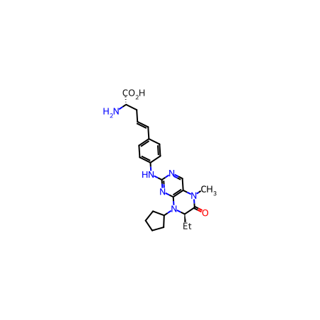 CC[C@@H]1C(=O)N(C)c2cnc(Nc3ccc(/C=C/C[C@H](N)C(=O)O)cc3)nc2N1C1CCCC1